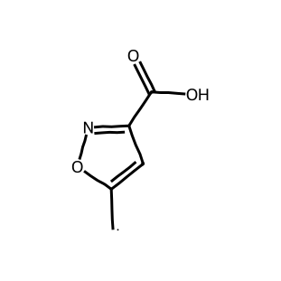 [CH2]c1cc(C(=O)O)no1